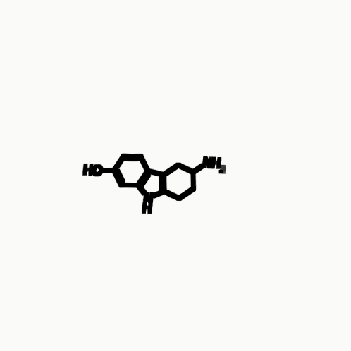 NC1CCc2[nH]c3cc(O)ccc3c2C1